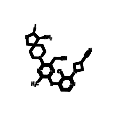 Cc1nc(N2CCC3(CC2)CO[C@@H](I)[C@H]3N)c(CO)nc1Sc1ccnc(N2CC(C#N)C2)c1Cl